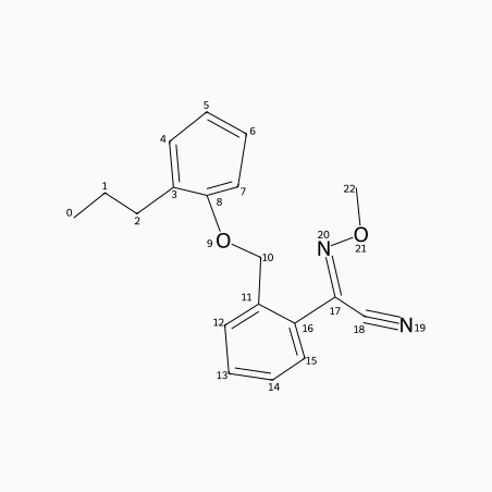 CCCc1ccccc1OCc1ccccc1C(C#N)=NOC